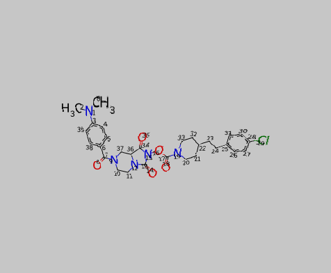 CN(C)c1ccc(C(=O)N2CCN3C(=O)N(OC(=O)N4CCC(CCc5ccc(Cl)cc5)CC4)C(=O)C3C2)cc1